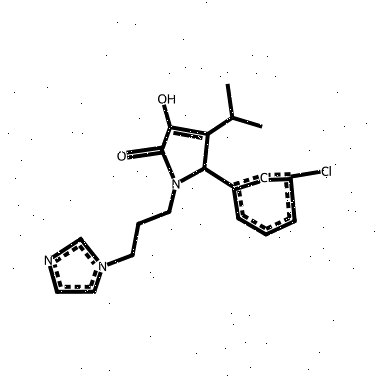 CC(C)C1=C(O)C(=O)N(CCCn2ccnc2)C1c1cccc(Cl)c1